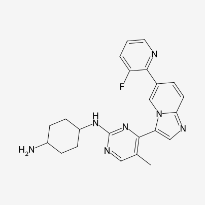 Cc1cnc(NC2CCC(N)CC2)nc1-c1cnc2ccc(-c3ncccc3F)cn12